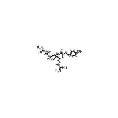 N=C(N)NCCCn1c(C(=O)NCCc2ccc(O)cc2)cc2cc(NC(=O)CNC(=N)N)ccc21